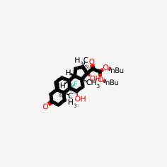 CCCCOC(OCCCC)C(=O)[C@@]1(O)[C@@H](C)C[C@H]2[C@@H]3CC=C4CC(=O)CC[C@]4(C)[C@@]3(F)[C@@H](O)C[C@@]21C